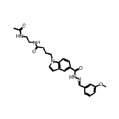 COc1cccc(/C=N/NC(=O)c2ccc3c(ccn3CCCC(=O)NCCNC(C)=O)c2)c1